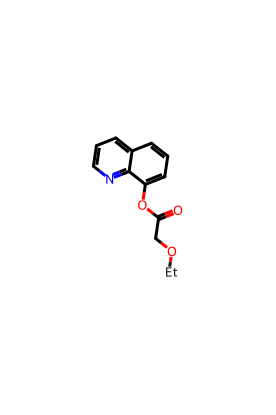 CCOCC(=O)Oc1cccc2cccnc12